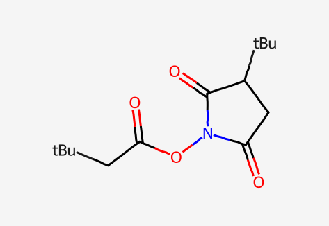 CC(C)(C)CC(=O)ON1C(=O)CC(C(C)(C)C)C1=O